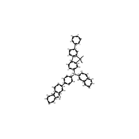 CC1(C)c2cc(-c3ccccc3)ccc2-c2ccc(N(c3ccc(-c4ccc5c(c4)oc4ccccc45)cc3)c3ccc4ccccc4c3)cc21